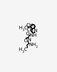 CCC[C@@H](N)c1nc(C(=O)Nc2cnc3cccc(C(C)(C)C)c3c2)co1